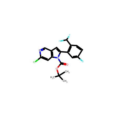 CC(C)(C)OC(=O)n1c(-c2cc(F)ccc2C(F)F)cc2cnc(Cl)cc21